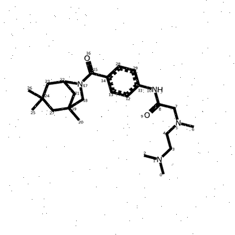 CN(C)CCN(C)CC(=O)Nc1ccc(C(=O)N2CC3(C)CC2CC(C)(C)C3)cc1